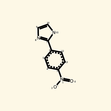 O=[N+]([O-])c1ccc(C2=NC=C[N]2)cc1